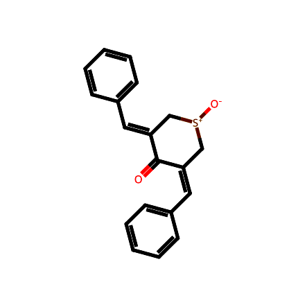 O=C1C(=Cc2ccccc2)C[S+]([O-])CC1=Cc1ccccc1